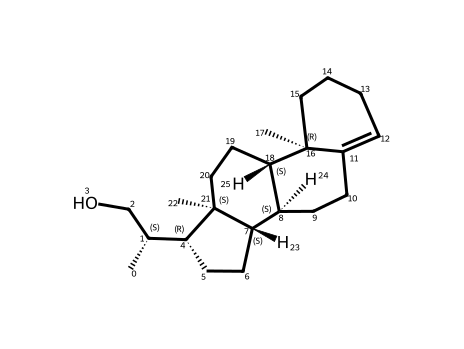 C[C@H](CO)[C@H]1CC[C@H]2[C@@H]3CCC4=CCCC[C@]4(C)[C@H]3CC[C@]12C